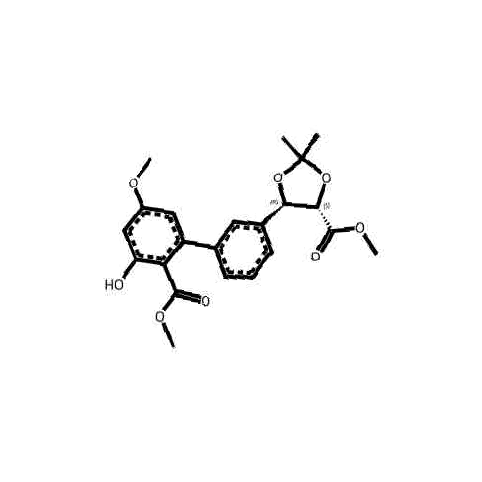 COC(=O)c1c(O)cc(OC)cc1-c1cccc([C@H]2OC(C)(C)O[C@@H]2C(=O)OC)c1